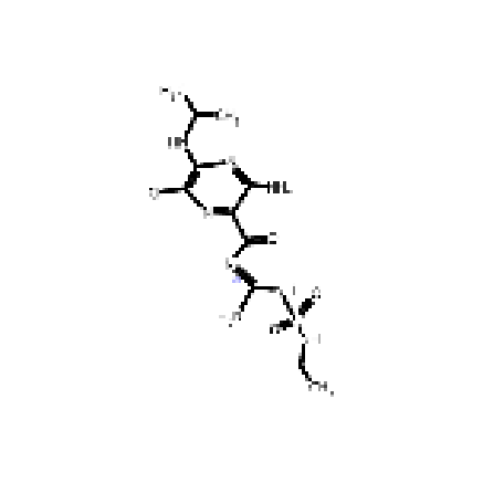 CCNS(=O)(=O)N/C(N)=N\C(=O)c1nc(Cl)c(NC(C)C)nc1N